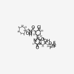 O=C(NCC1(O)CCCCCC1)c1cc(-n2ncc(=O)n(CC(O)COC(F)(F)F)c2=O)ccc1Cl